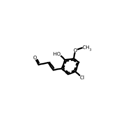 COc1cc(Cl)cc(C=CC=O)c1O